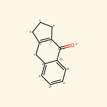 O=C1C2=C(CCC2)Cc2ccccc21